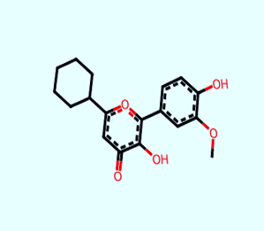 COc1cc(-c2oc(C3CCCCC3)cc(=O)c2O)ccc1O